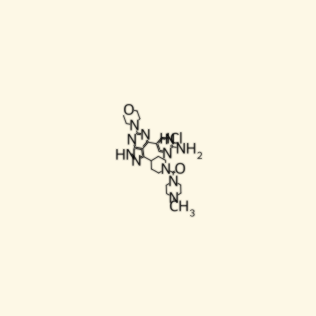 CN1CCN(C(=O)N2CCC(c3n[nH]c4nc(N5CCOCC5)nc(-c5cnc(N)nc5)c34)CC2)CC1.Cl